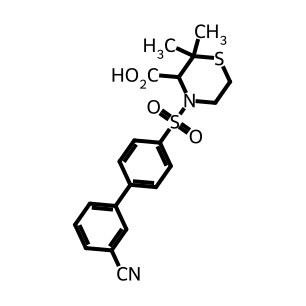 CC1(C)SCCN(S(=O)(=O)c2ccc(-c3cccc(C#N)c3)cc2)C1C(=O)O